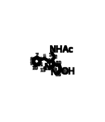 CC(=O)NCCc1c(Cc2ccccc2)n(C)c2ncc(O)cc12